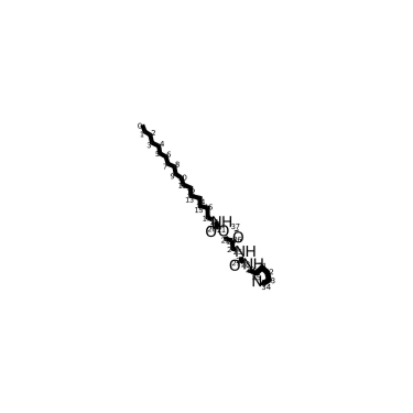 CCCCCCCCCCCCCCCCCCNC(=O)OCC(CNC(=O)NCc1ccccn1)OC